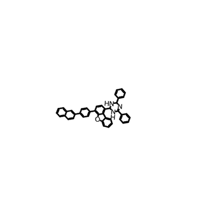 c1ccc(C2=NC(c3ccccc3)NC(c3ccc(-c4ccc(-c5ccc6ccccc6c5)cc4)c4oc5ccccc5c34)N2)cc1